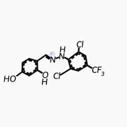 Oc1ccc(/C=N/Nc2c(Cl)cc(C(F)(F)F)cc2Cl)c(O)c1